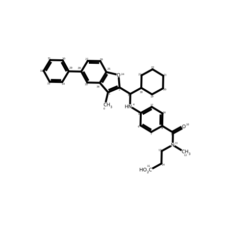 Cc1c(C(Nc2ccc(C(=O)N(C)CCC(=O)O)cc2)C2CCCCC2)oc2ccc(-c3ccccc3)cc12